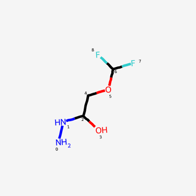 NNC(O)COC(F)F